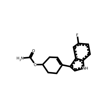 NC(=O)OC1CC=C(c2c[nH]c3ccc(F)cc23)CC1